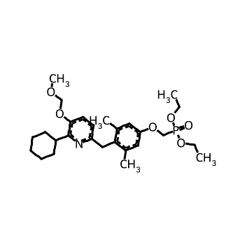 CCOP(=O)(COc1cc(C)c(Cc2ccc(OCOC)c(C3CCCCC3)n2)c(C)c1)OCC